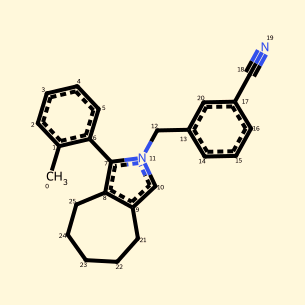 Cc1ccccc1-c1c2c(cn1Cc1cccc(C#N)c1)CCCCC2